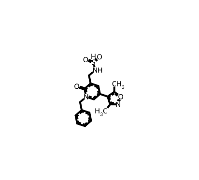 Cc1noc(C)c1-c1cc(CN[SH](=O)=O)c(=O)n(Cc2ccccc2)c1